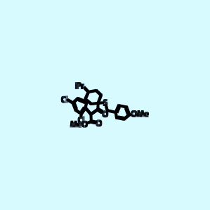 COC(=O)C(C(=O)C1(SCc2ccc(OC)cc2)CCC(C(C)C)CC1)c1ccc(Cl)cc1Cl